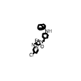 CCc1nc2cc(Cl)ccn2c1C(=O)NCc1ccc(NC2C3CC4CC(C3)CC2C4)cc1